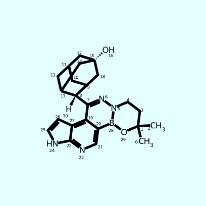 CC1(C)CCN2N=C([C@H]3C4CC5CC3C[C@@](O)(C5)C4)c3c(cnc4[nH]ccc34)B2O1